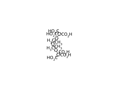 CC(C)(c1ccc(-c2cc(C(=O)O)cc(C(=O)O)c2C(=O)O)cc1)c1cccc(C(C)(C)c2ccc(-c3cc(C(=O)O)cc(C(=O)O)c3C(=O)O)cc2)c1